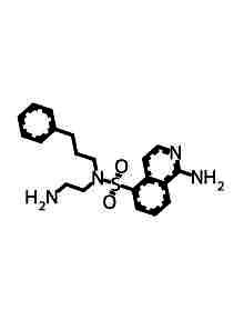 NCCN(CCCc1ccccc1)S(=O)(=O)c1cccc2c(N)nccc12